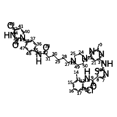 Cc1nc(Nc2ncc(C(=O)Nc3c(C)cccc3Cl)s2)cc(N2CCN(CCCCCC(=O)Nc3ccc(-n4ccc(=O)[nH]c4=O)cc3)CC2)n1